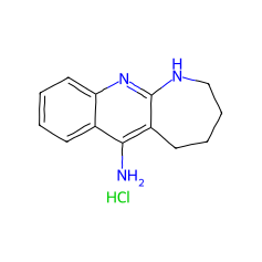 Cl.Nc1c2c(nc3ccccc13)NCCCC2